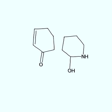 O=C1C=CCCC1.OC1CCCCN1